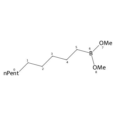 CCCCCCCCCCB(OC)OC